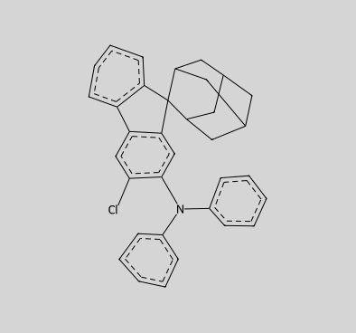 Clc1cc2c(cc1N(c1ccccc1)c1ccccc1)C1(c3ccccc3-2)C2CC3CC(C2)CC1C3